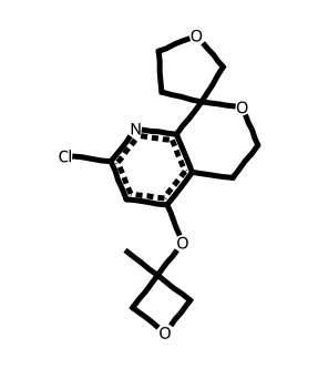 CC1(Oc2cc(Cl)nc3c2CCOC32CCOC2)COC1